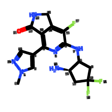 Cn1cc(-c2nc(NC3CC(F)(F)C[C@@H]3N)c(F)c3c2C(=O)NC3)cn1